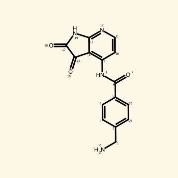 NCc1ccc(C(=O)Nc2ccnc3c2C(=O)C(=O)N3)cc1